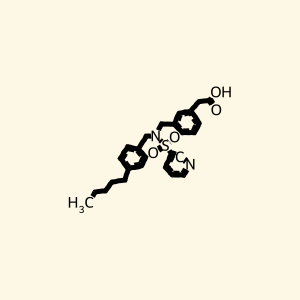 CCCCCc1ccc(CN(Cc2cccc(CC(=O)O)c2)S(=O)(=O)c2cccnc2)cc1